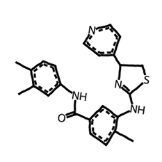 Cc1ccc(NC(=O)c2ccc(C)c(NC3=NC(c4ccncc4)CS3)c2)cc1C